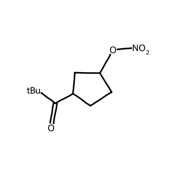 CC(C)(C)C(=O)C1CCC(O[N+](=O)[O-])C1